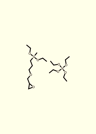 CCO[Si](C)(CCCOCC1CO1)OCC.CCO[Si](OCC)(OCC)OCC